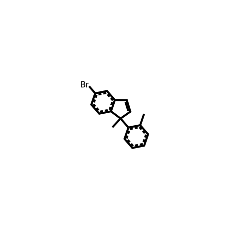 Cc1ccccc1C1(C)C=Cc2cc(Br)ccc21